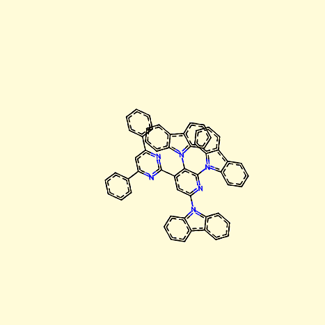 c1ccc(-c2cc(-c3ccccc3)nc(-c3cc(-n4c5ccccc5c5ccccc54)nc(-n4c5ccccc5c5ccccc54)c3-n3c4ccccc4c4ccccc43)n2)cc1